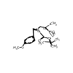 COc1ccc(CN(C[C@@H](C)O)C(=O)OC(C)(C)C)cc1